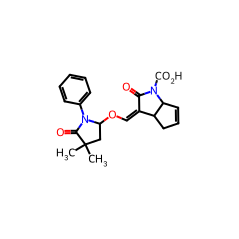 CC1(C)CC(OC=C2C(=O)N(C(=O)O)C3C=CCC23)N(c2ccccc2)C1=O